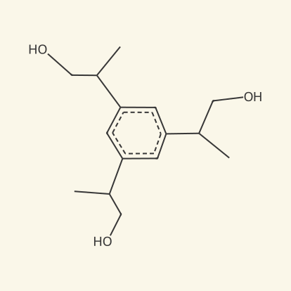 CC(CO)c1cc(C(C)CO)cc(C(C)CO)c1